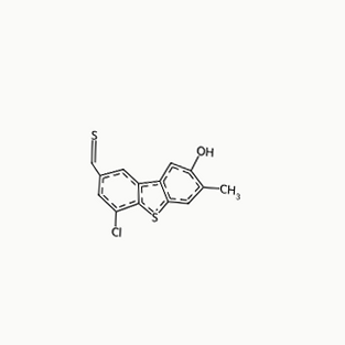 Cc1cc2sc3c(Cl)cc(C=S)cc3c2cc1O